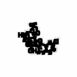 CC(C)(C)OC(=O)C(c1oc2c(c1C(=O)O)CCc1cnc(Cl)cc1-2)C1(N)CNC1